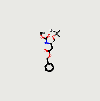 CC(C)(C)OC(=O)N[C@H](CO[Si](C)(C)C(C)(C)C)CC(=O)OCc1ccccc1